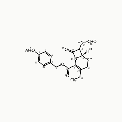 COc1ccc(COC(=O)C2=C(CCl)CS[C@H]3C(NC=O)C(=O)N23)cc1